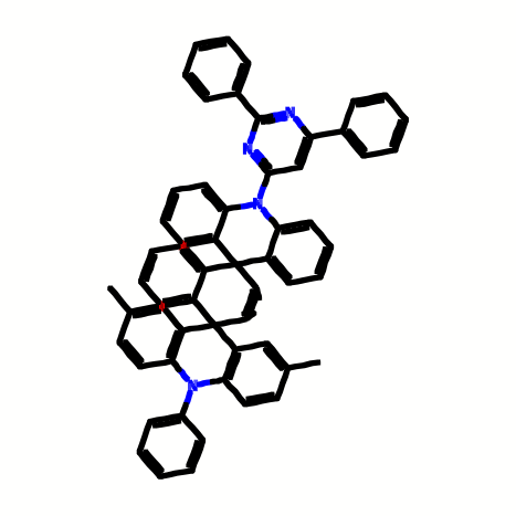 Cc1ccc2c(c1)C1(c3cc(C)ccc3N2c2ccccc2)c2ccccc2C2(c3ccccc3N(c3cc(-c4ccccc4)nc(-c4ccccc4)n3)c3ccccc32)c2ccccc21